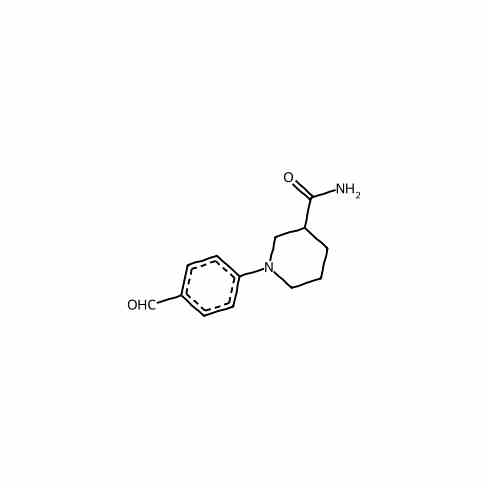 NC(=O)C1CCCN(c2ccc(C=O)cc2)C1